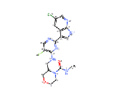 CCCNC(=O)N1CCOCC1CNc1nc(-c2c[nH]c3ncc(Cl)cc23)ncc1F